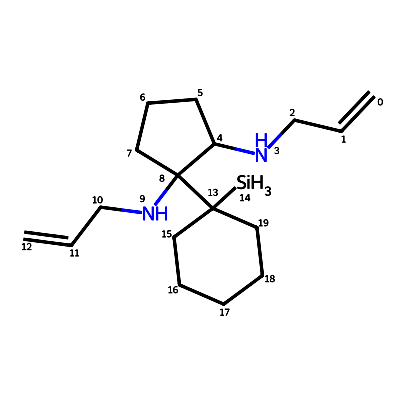 C=CCNC1CCCC1(NCC=C)C1([SiH3])CCCCC1